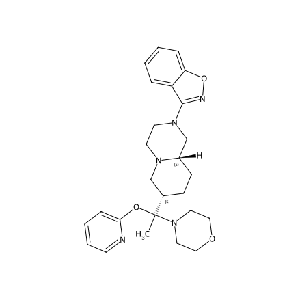 CC(Oc1ccccn1)([C@H]1CC[C@H]2CN(c3noc4ccccc34)CCN2C1)N1CCOCC1